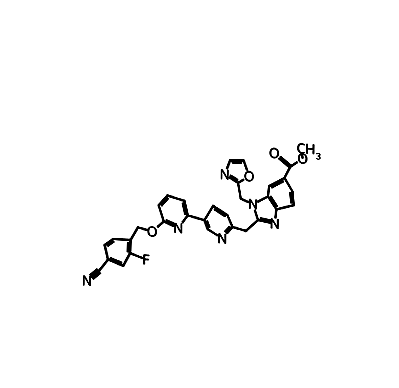 COC(=O)c1ccc2nc(Cc3ccc(-c4cccc(OCc5ccc(C#N)cc5F)n4)cn3)n(Cc3ncco3)c2c1